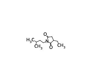 CCC1CC(=O)N(CCC(C)C)C1=O